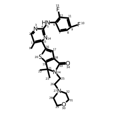 Cc1cnc(Nc2ccc(F)cc2F)nc1-c1cc2c(s1)C(C)(C)N(CCN1CCOCC1)C2=O